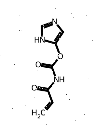 C=CC(=O)NC(=O)Oc1cnc[nH]1